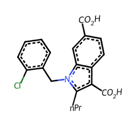 CCCc1c(C(=O)O)c2ccc(C(=O)O)cc2n1Cc1ccccc1Cl